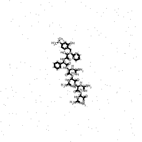 CN(C)c1ccc(CN(c2ncccn2)C(O)C(=O)NC(C(=O)NC(NC(=N)N)C(=O)NC(NC(=N)N)C(=O)NC(NC(=N)N)C(=O)NC(NC(=N)N)C(N)=O)c2ccccc2)c(O)c1